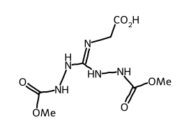 COC(=O)NNC(=NCC(=O)O)NNC(=O)OC